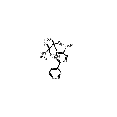 COc1cnc(-c2ccccn2)nc1C(O)(C(=O)O)C(O)(C(=O)O)C(C)C.N